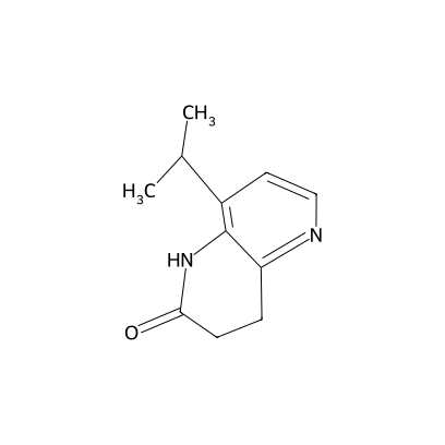 CC(C)c1ccnc2c1NC(=O)CC2